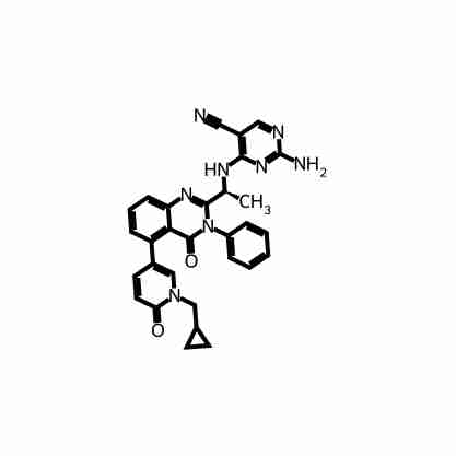 C[C@H](Nc1nc(N)ncc1C#N)c1nc2cccc(-c3ccc(=O)n(CC4CC4)c3)c2c(=O)n1-c1ccccc1